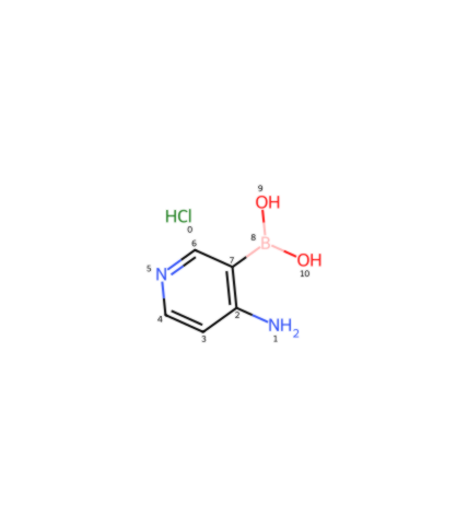 Cl.Nc1ccncc1B(O)O